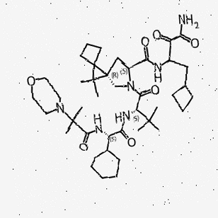 CC(C)(C)[C@H](NC(=O)[C@@H](NC(=O)C(C)(C)N1CCOCC1)C1CCCCC1)C(=O)N1C[C@]2(C[C@H]1C(=O)NC(CC1CCC1)C(=O)C(N)=O)C(C)(C)C21CCC1